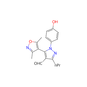 CCCc1nn(-c2ccc(O)cc2)c(-c2c(C)noc2C)c1C=O